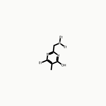 CCc1nc(CN(CC)CC)nc(O)c1C